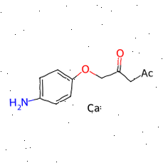 CC(=O)CC(=O)COc1ccc(N)cc1.[Ca]